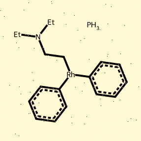 CCN(CC)C[CH2][Rh]([c]1ccccc1)[c]1ccccc1.P